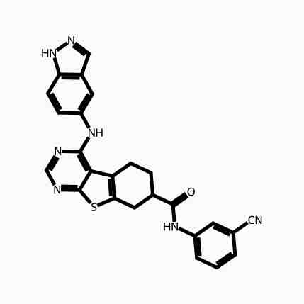 N#Cc1cccc(NC(=O)C2CCc3c(sc4ncnc(Nc5ccc6[nH]ncc6c5)c34)C2)c1